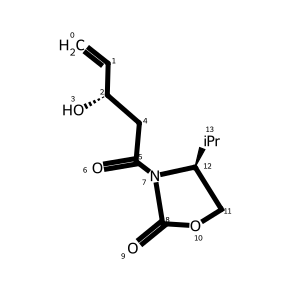 C=C[C@@H](O)CC(=O)N1C(=O)OC[C@@H]1C(C)C